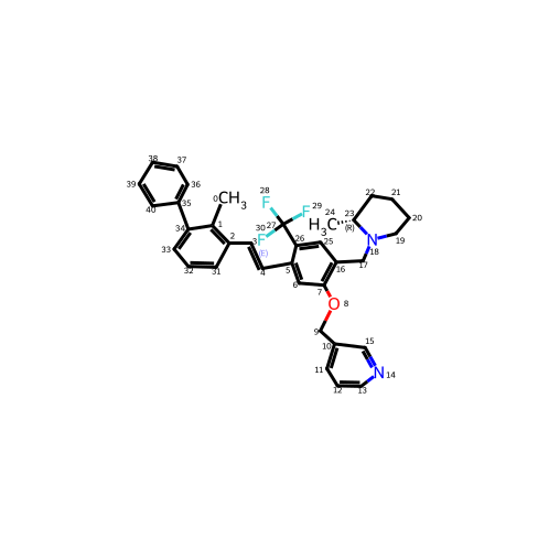 Cc1c(/C=C/c2cc(OCc3cccnc3)c(CN3CCCC[C@H]3C)cc2C(F)(F)F)cccc1-c1ccccc1